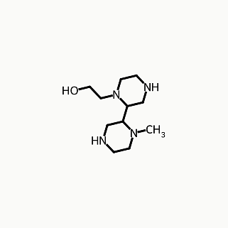 CN1CCNCC1C1CNCCN1CCO